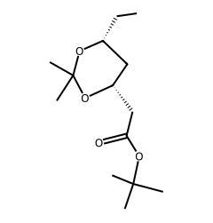 CC[C@@H]1C[C@H](CC(=O)OC(C)(C)C)OC(C)(C)O1